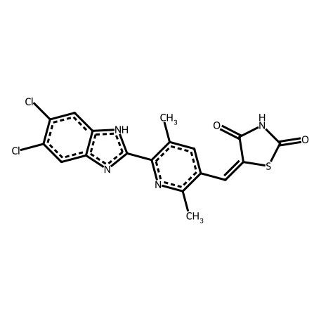 Cc1cc(C=C2SC(=O)NC2=O)c(C)nc1-c1nc2cc(Cl)c(Cl)cc2[nH]1